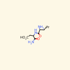 CC(C)C[C@H](N)C(=O)NC(CC(=O)O)C(N)=O